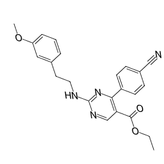 CCOC(=O)c1cnc(NCCc2cccc(OC)c2)nc1-c1ccc(C#N)cc1